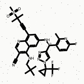 Cc1nc(F)ccc1[C@H](Nc1cc(C#CC(C)(C)S(C)(=O)=O)c2ncc(C#N)c(NCC(C)(C)C)c2c1)c1cn(C2(C(F)(F)F)CC2)nn1